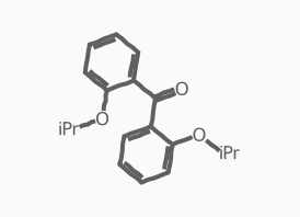 CC(C)Oc1ccccc1C(=O)c1ccccc1OC(C)C